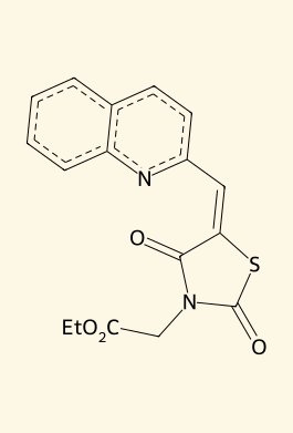 CCOC(=O)CN1C(=O)SC(=Cc2ccc3ccccc3n2)C1=O